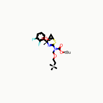 CC(C)(C)OC(=O)N(COCC[Si](C)(C)C)C1=N[C@](C)(c2cccc(F)c2F)C2C[C@]2(CO)S1